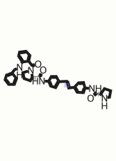 O=C(Nc1ccc(/C=C/c2ccc(NC(=O)[C@@H]3CCCN3C(=O)c3ccccc3NCc3ccccc3)cc2)cc1)[C@@H]1CCCN1